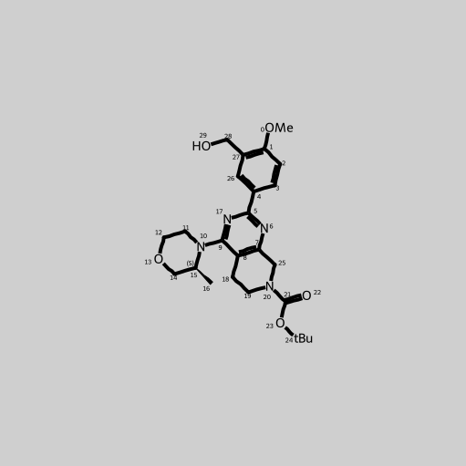 COc1ccc(-c2nc3c(c(N4CCOC[C@@H]4C)n2)CCN(C(=O)OC(C)(C)C)C3)cc1CO